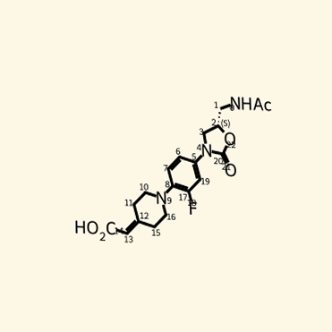 CC(=O)NC[C@H]1CN(c2ccc(N3CCC(=CC(=O)O)CC3)c(F)c2)C(=O)O1